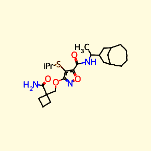 CC(C)Sc1c(OCC2(C(N)=O)CCC2)noc1C(=O)NC(C)C1CC2CCCCC(C2)C1